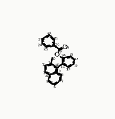 Cc1ccc2ccccc2c1-c1ccccc1OC(=O)c1ccccc1